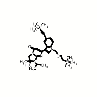 CC(C)N1c2nc(-c3cn(COCC[Si](C)(C)C)c4ccc(C#C[Si](C)(C)C)cc34)cc(=O)n2CC1(C)C